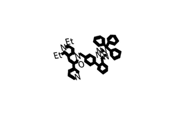 CCc1cc2c(cc(-c3cccnc3)c(=O)n2Cc2ccc(-c3ccccc3-c3nnn(C(c4ccccc4)(c4ccccc4)c4ccccc4)n3)cc2)c(CC)n1